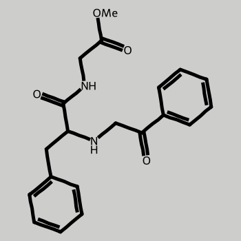 COC(=O)CNC(=O)C(Cc1ccccc1)NCC(=O)c1ccccc1